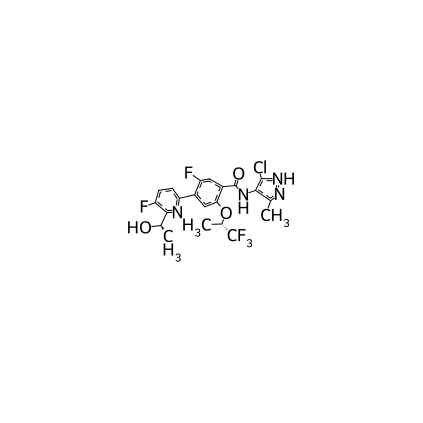 Cc1n[nH]c(Cl)c1NC(=O)c1cc(F)c(-c2ccc(F)c([C@@H](C)O)n2)cc1O[C@@H](C)C(F)(F)F